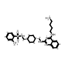 NCCCCNc1nc(NC[C@H]2CC[C@H](CNS(=O)(=O)c3ccccc3C(F)(F)F)CC2)nc2ccccc12